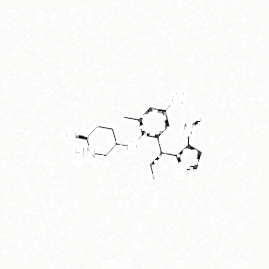 C=Nc1ccsc1/C(=C\C)c1cc(Cl)cc(C)c1OC1CCC(=O)NC1